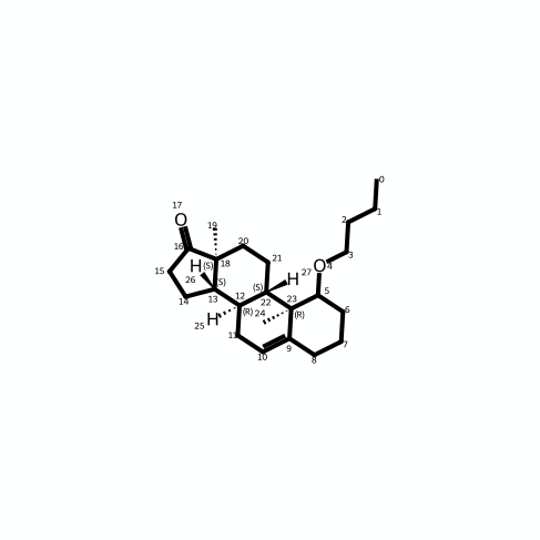 CCCCOC1CCCC2=CC[C@H]3[C@@H]4CCC(=O)[C@@]4(C)CC[C@@H]3[C@]21C